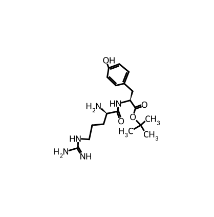 CC(C)(C)OC(=O)[C@H](Cc1ccc(O)cc1)NC(=O)[C@H](N)CCCNC(=N)N